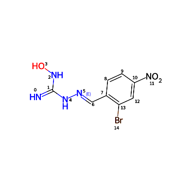 N=C(NO)N/N=C/c1ccc([N+](=O)[O-])cc1Br